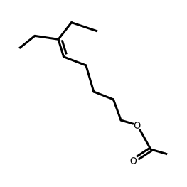 CCC(=CCCCCOC(C)=O)CC